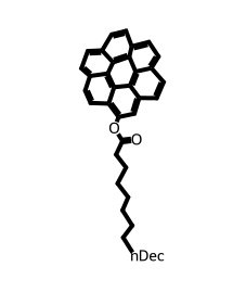 CCCCCCCCCCCCCCCCCC(=O)Oc1cc2ccc3ccc4ccc5ccc6ccc1c1c6c5c4c3c21